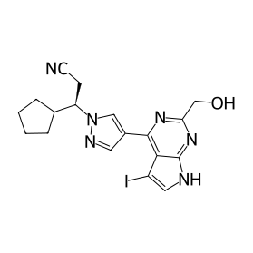 N#CC[C@H](C1CCCC1)n1cc(-c2nc(CO)nc3[nH]cc(I)c23)cn1